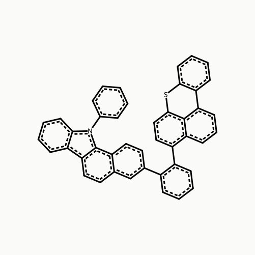 c1ccc(-n2c3ccccc3c3ccc4cc(-c5ccccc5-c5ccc6c7c(cccc57)-c5ccccc5S6)ccc4c32)cc1